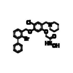 O=C(COc1cc(OCc2cccc(-c3ccccc3)c2Br)c(Cl)cc1CN1CCCCC1)NO